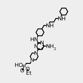 CCOP(=O)(O)CCN1CCN(c2cc(N)nc(NC3CCC(CNCCCNC4CCCCC4)CC3)n2)CC1